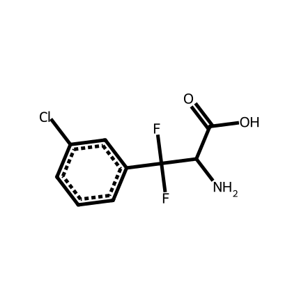 NC(C(=O)O)C(F)(F)c1cccc(Cl)c1